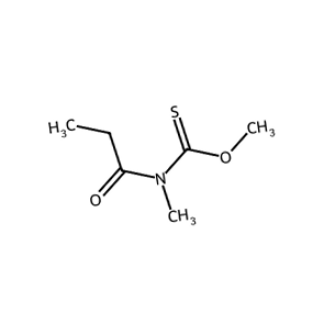 CCC(=O)N(C)C(=S)OC